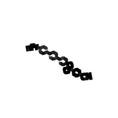 CCC[C@H]1CC[C@H]([C@H]2CC[C@H]([C@H]3CC[C@H](OC(=O)c4ccc(C#N)cc4)CC3)CC2)CC1